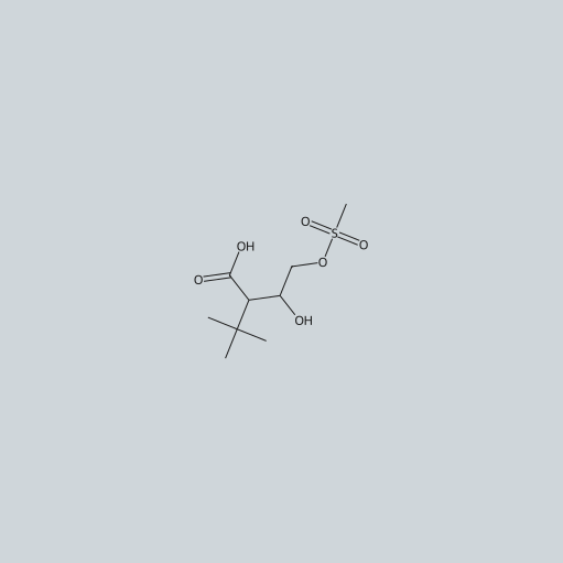 CC(C)(C)C(C(=O)O)C(O)COS(C)(=O)=O